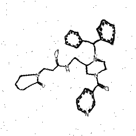 O=C(CCN1CCCC1=O)NCC1CN(C(=O)c2cccnc2)CCN1C(c1ccccc1)c1ccccc1